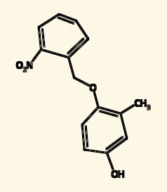 Cc1cc(O)ccc1OCc1ccccc1[N+](=O)[O-]